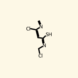 C=N/C(Cl)=C\C(S)=N/CCl